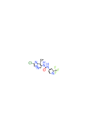 O=C(Nc1ccnc(C(F)(F)F)c1)Nc1cnn2cc(Cl)nc2c1C1CC1